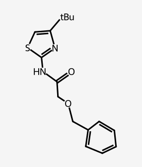 CC(C)(C)c1csc(NC(=O)COCc2ccccc2)n1